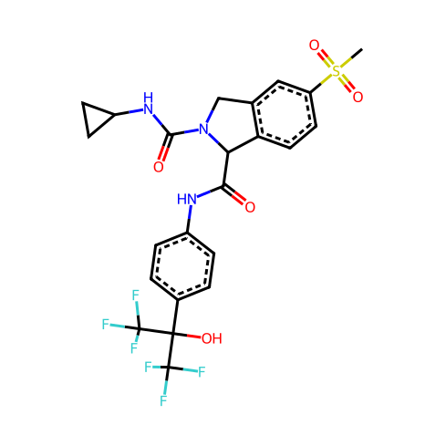 CS(=O)(=O)c1ccc2c(c1)CN(C(=O)NC1CC1)C2C(=O)Nc1ccc(C(O)(C(F)(F)F)C(F)(F)F)cc1